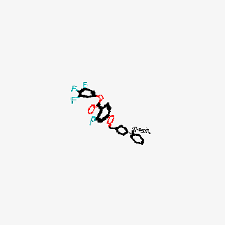 CCCC(C)C1([C@H]2CC[C@H](COc3ccc(C(=O)Oc4cc(F)c(F)c(F)c4)c(F)c3)CC2)CCCCC1